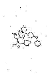 CC(=O)CN(NC(=O)[C@H](CC(C)C)N1C(=O)OC1c1ccncc1)S(=O)(=O)c1ccc(Oc2ccccc2)cc1